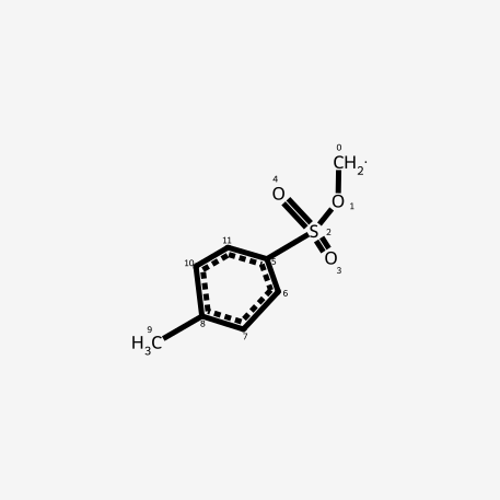 [CH2]OS(=O)(=O)c1ccc(C)cc1